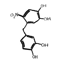 O=[N+]([O-])c1cc(O)c(O)cc1Cc1ccc(O)c(O)c1